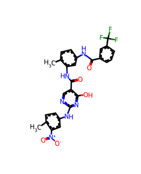 Cc1ccc(NC(=O)c2cccc(C(F)(F)F)c2)cc1NC(=O)c1cnc(Nc2ccc(C)c([N+](=O)[O-])c2)nc1O